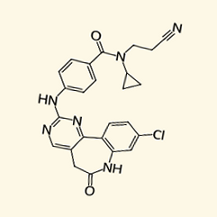 N#CCCN(C(=O)c1ccc(Nc2ncc3c(n2)-c2ccc(Cl)cc2NC(=O)C3)cc1)C1CC1